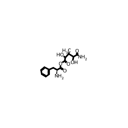 CC(C(O)C(N)=O)C(O)C(=O)OC(=O)[C@@H](N)Cc1ccccc1